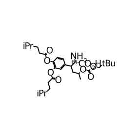 CC(C)CCC(=O)Oc1ccc(C(CC(C)OC(=O)OCC(C)(C)C)[C@H](N)C(=O)O)cc1OC(=O)CCC(C)C